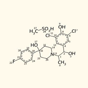 CC(C(O)c1cc(Cl)c(O)c(Cl)c1)N1CCC(O)(c2ccc(F)cc2)CC1.CS(=O)(=O)O